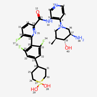 C[C@H]1CN(c2ccncc2NC(=O)c2ccc(F)c(-c3c(F)cc(C4CCS(O)(O)CC4)cc3F)n2)C[C@@H](N)[C@@H]1O